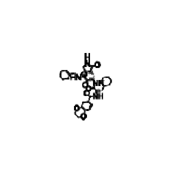 O=C(NCc1ccccc1)C(=O)[C@H](C[C@@H]1CCNC1=O)NC(=O)[C@H](CC1CCCCC1)NC(=O)c1ccc2c(c1)OCCO2